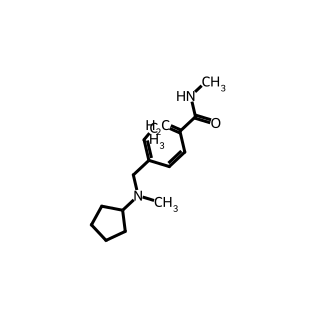 C=C(/C=C\C(=C/C)CN(C)C1CCCC1)C(=O)NC